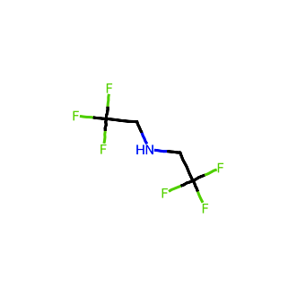 FC(F)(F)CNCC(F)(F)F